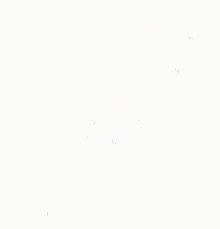 CC(C)(C)C(=O)c1cc2cc(NC(=O)C3=NC(CCOCCO)N=N3)ccc2[nH]1